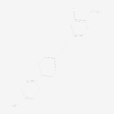 CCCCCc1ccc(C#CC2CCC(c3ccc(CCC)cc3)CC2)cc1F